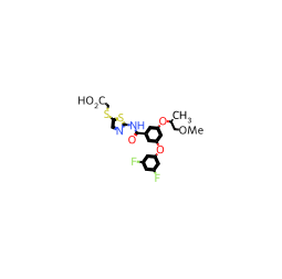 COC[C@H](C)Oc1cc(Oc2cc(F)cc(F)c2)cc(C(=O)Nc2ncc(SCC(=O)O)s2)c1